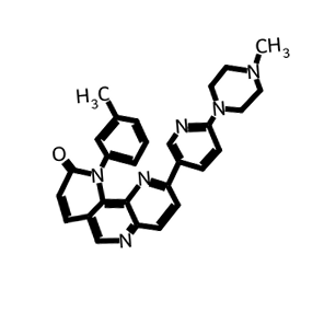 Cc1cccc(-n2c(=O)ccc3cnc4ccc(-c5ccc(N6CCN(C)CC6)nc5)nc4c32)c1